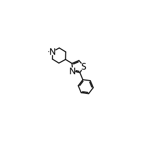 c1ccc(-c2nc(C3CC[N]CC3)cs2)cc1